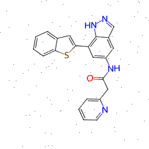 O=C(Cc1ccccn1)Nc1cc(-c2cc3ccccc3s2)c2[nH]ncc2c1